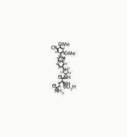 COc1cc(OC)c(-c2cn3ccc(N4CCC(NC(=O)C(CCC(N)=O)NC(=O)O)C4)cc3n2)cc1Cl